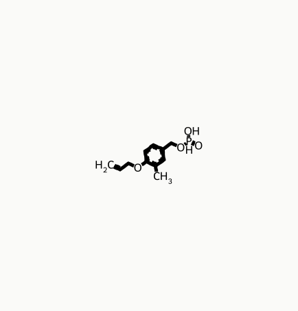 C=CCOc1ccc(CO[PH](=O)O)cc1C